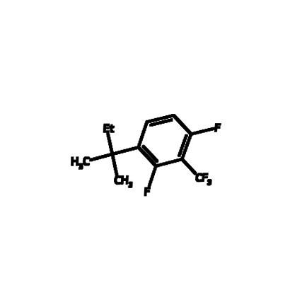 CCC(C)(C)c1ccc(F)c(C(F)(F)F)c1F